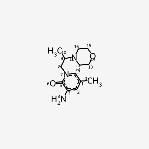 Cc1cc(N)c(=O)n(CC(C)N2CCOCC2)c1